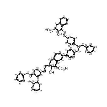 O=C(O)c1cc2ccccc2c(/N=N/c2ccc(N(Cc3ccccn3)Cc3ccc(-c4ccc5cc(/N=N/c6ccc(N(Cc7ccccn7)Cc7ccccn7)cc6)c(O)c(C(=O)O)c5c4)cn3)cc2)c1O